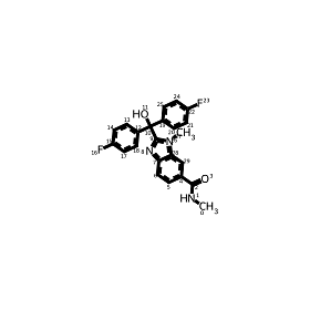 CNC(=O)c1ccc2nc(C(O)(c3ccc(F)cc3)c3ccc(F)cc3)n(C)c2c1